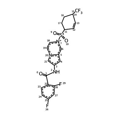 O=C(Nc1cc2c[n+](S(=O)(=O)C3C=CC(C(F)(F)F)CC3)ccn2c1)c1ccc(F)cc1F